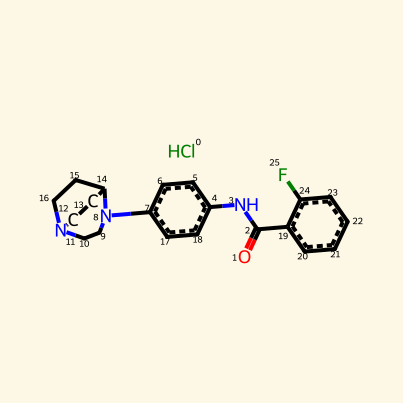 Cl.O=C(Nc1ccc(N2CCN3CCC2CC3)cc1)c1ccccc1F